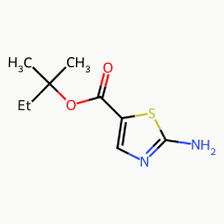 CCC(C)(C)OC(=O)c1cnc(N)s1